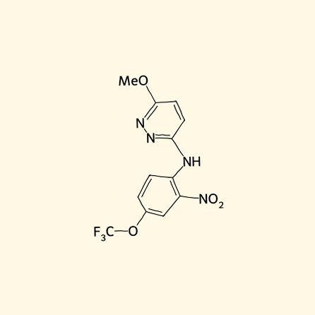 COc1ccc(Nc2ccc(OC(F)(F)F)cc2[N+](=O)[O-])nn1